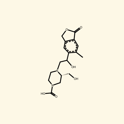 Cc1cc2c(cc1C(O)CN1CCN(C(=O)O)C[C@H]1CO)COC2=O